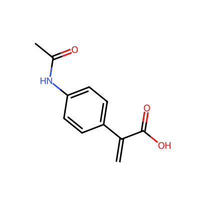 C=C(C(=O)O)c1ccc(NC(C)=O)cc1